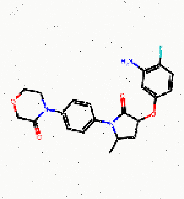 CC1CC(Oc2ccc(F)c(N)c2)C(=O)N1c1ccc(N2CCOCC2=O)cc1